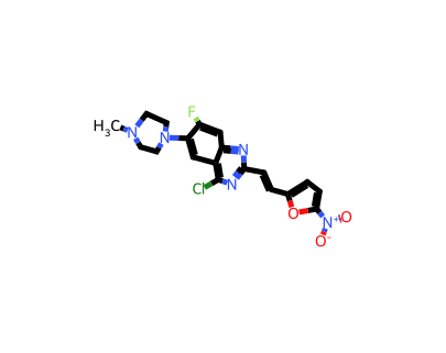 CN1CCN(c2cc3c(Cl)nc(/C=C/c4ccc([N+](=O)[O-])o4)nc3cc2F)CC1